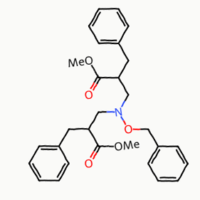 COC(=O)C(Cc1ccccc1)CN(CC(Cc1ccccc1)C(=O)OC)OCc1ccccc1